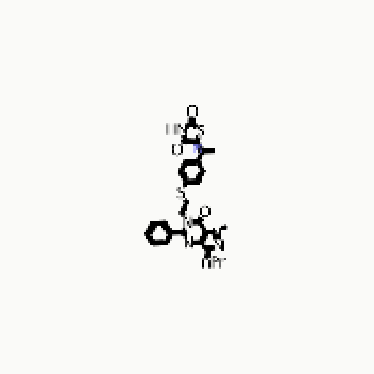 CCCc1nn(C)c2c(=O)n(CCSc3ccc(/C(C)=C4/SC(=O)NC4=O)cc3)c(-c3ccccc3)nc12